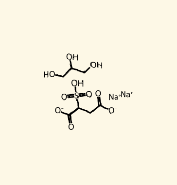 O=C([O-])CC(C(=O)[O-])S(=O)(=O)O.OCC(O)CO.[Na+].[Na+]